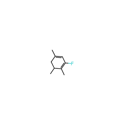 CC1=CC(F)=C(C)C(C)C1